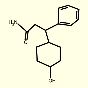 NC(=O)CC(c1ccccc1)C1CCC(O)CC1